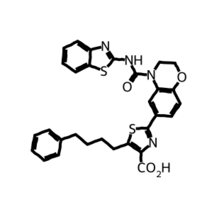 O=C(O)c1nc(-c2ccc3c(c2)N(C(=O)Nc2nc4ccccc4s2)CCO3)sc1CCCCc1ccccc1